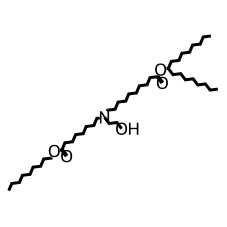 CCCCCCCCCOC(=O)CCCCCCCN(CCO)CCCCCCCCCC(=O)OC(CCCCCCCC)CCCCCCCC